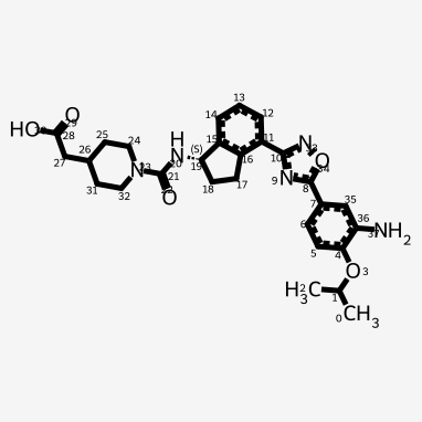 CC(C)Oc1ccc(-c2nc(-c3cccc4c3CC[C@@H]4NC(=O)N3CCC(CC(=O)O)CC3)no2)cc1N